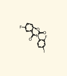 O=c1oc2ccc(F)cc2c(=O)n1-c1ccc(I)cc1F